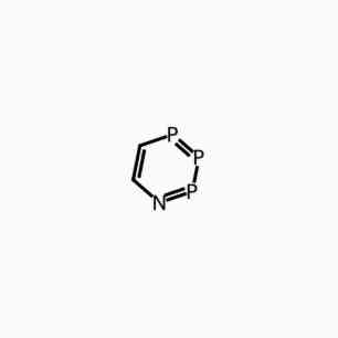 c1cpppn1